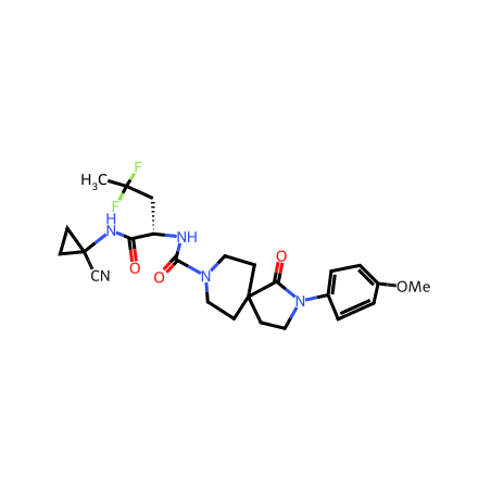 COc1ccc(N2CCC3(CCN(C(=O)N[C@@H](CC(C)(F)F)C(=O)NC4(C#N)CC4)CC3)C2=O)cc1